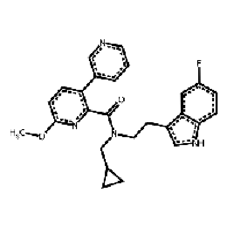 COc1ccc(-c2cccnc2)c(C(=O)N(CCc2c[nH]c3ccc(F)cc23)CC2CC2)n1